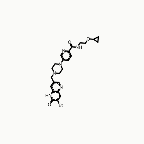 CCc1cc2ncc(CN3CCN(c4ccc(C(=O)NCCOC5CC5)nc4)CC3)cc2[nH]c1=O